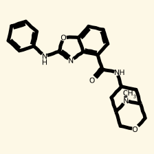 CN1C2COCC1CC(NC(=O)c1cccc3oc(Nc4ccccc4)nc13)C2